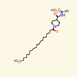 CCC[C@H](NC(=O)C1CCN(C(=O)CCCCCCCCCCCCCCCCCCC(=O)O)CC1)C(=O)O